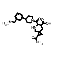 COCc1cccc(C2CCN(C(=O)C3NCC4(CC3C(=O)O)CC4C(N)=O)CC2)c1